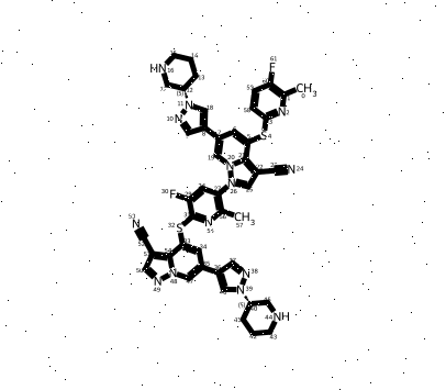 Cc1nc(Sc2cc(-c3cnn([C@H]4CCCNC4)c3)cn3c2c(C#N)c[n+]3-c2cc(F)c(Sc3cc(-c4cnn([C@H]5CCCNC5)c4)cn4ncc(C#N)c34)nc2C)ccc1F